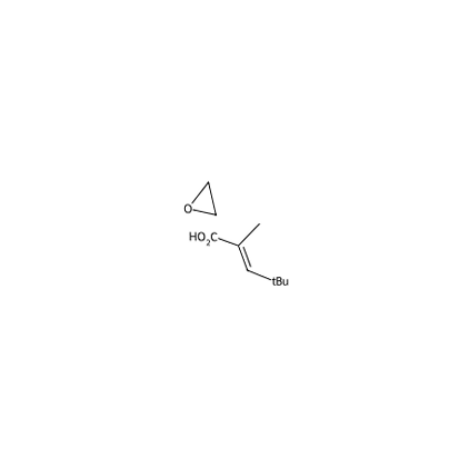 C1CO1.CC(=CC(C)(C)C)C(=O)O